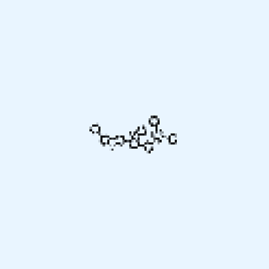 c1ccc(-c2ccc3sc4cc(-c5ccc(-c6cccc(-c7nc(-c8ccccc8)nc(-c8ccccc8)n7)c6)c6c5oc5ccccc56)ccc4c3c2)cc1